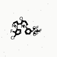 O=c1ccn(-c2cccc(S(=O)(=O)C(F)(F)F)c2)nc1-c1ccnn1-c1cccc(Cl)c1F